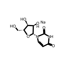 O=c1ccn([C@@H]2O[C@H](CO)[C@@H](O)[C@H]2O)c(=O)[nH]1.[Na]